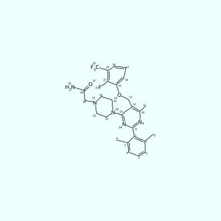 Cc1cccc(C)c1-c1nc(C)c(COc2cccc(C(F)(F)F)c2F)c(N2CCN(CC(N)=O)CC2)n1